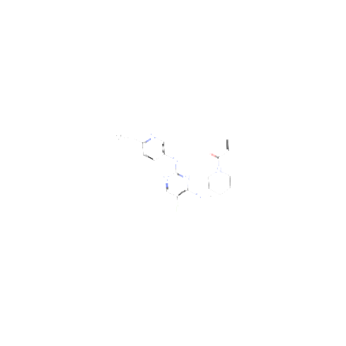 C=CC(=O)N1CCC[C@H](Nc2nc(Nc3ccc(OC)nc3)ncc2F)C1